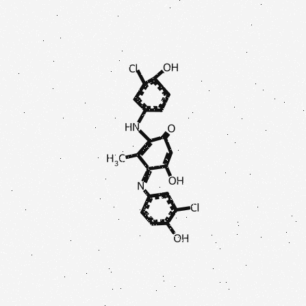 CC1=C(Nc2ccc(O)c(Cl)c2)C(=O)C=C(O)C1=Nc1ccc(O)c(Cl)c1